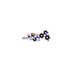 COC(=O)N[C@H](C(=O)N1CCC[C@H]1C(=O)Nc1ccc([C@H]2CCCN2c2ccc(F)cc2)cc1)C(C)(C)C